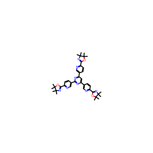 CC1(C)N=C(c2ccc(-c3cc(-c4ccc(C5=NC(C)(C)C(C)(C)O5)nc4)nc(-c4ccc(C5=NC(C)(C)C(C)(C)O5)nc4)n3)cn2)OC1(C)C